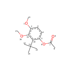 COc1ccc(OC(C)=O)c(C(C)(C)C)c1OC